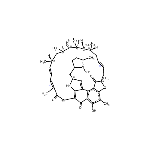 CCCN1C(C)CCC1C[C@H]1N=C2C(=C3NC(=O)/C(C)=C\C=C\[C@H](C)C[C@@H](C)[C@@H](O)[C@@H](C)[C@H](OC(C)=O)[C@H](C)C/C=C/C[C@@]4(C)Oc5c(C)c(O)c(c2c5C4=O)C3=O)N1